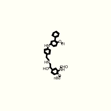 CCCCOc1ccc([C@@H](O)CNCCc2ccc(Nc3ccc(OCC)c(-c4ccccc4)c3)cc2)cc1NC=O